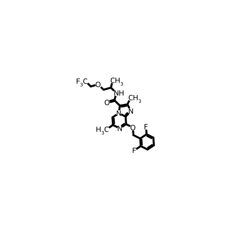 Cc1cn2c(C(=O)NC(C)COCC(F)(F)F)c(C)nc2c(OCc2c(F)cccc2F)n1